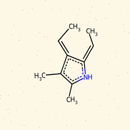 C/C=c1/c(C)c(C)[nH]/c1=C/C